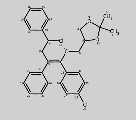 CC1(C)OCC(COC(=C(CC(Cl)c2ccccc2)c2ccccc2)c2ccc(Cl)cc2)O1